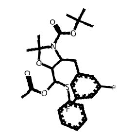 CC(=O)OC(Sc1ccccc1)C1OC(C)(C)N(C(=O)OC(C)(C)C)C1Cc1cc(F)cc(F)c1